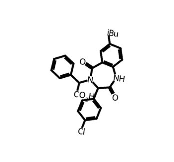 CCC(C)c1ccc2c(c1)C(=O)N(C(C(=O)O)c1ccccc1)C(c1ccc(Cl)cc1)C(=O)N2